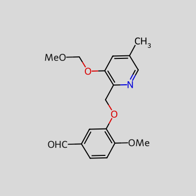 COCOc1cc(C)cnc1COc1cc(C=O)ccc1OC